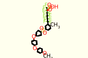 COc1ccc(Oc2ccc(Oc3ccc(S(=O)(=O)c4ccc(C)c(C(F)(F)C(F)(F)C(F)(F)C(F)(F)C(F)(F)C(F)(F)S(=O)(=O)O)c4)cc3)cc2)cc1